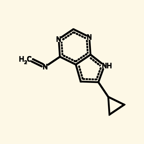 C=Nc1ncnc2[nH]c(C3CC3)cc12